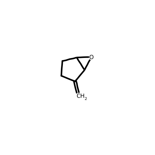 C=C1CCC2OC12